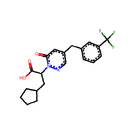 O=C(O)C(CC1CCCC1)n1ncc(Cc2cccc(C(F)(F)F)c2)cc1=O